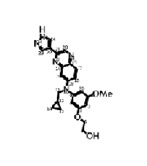 COc1cc(OCCO)cc(N(CC2CC2)c2ccc3ncc(-c4cn[nH]c4)nc3c2)c1